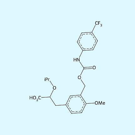 COc1ccc(CC(OC(C)C)C(=O)O)cc1COC(=O)Nc1ccc(C(F)(F)F)cc1